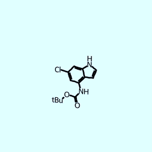 CC(C)(C)OC(=O)Nc1cc(Cl)cc2[nH]ccc12